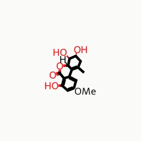 COc1cc(O)c2c(c1)C1=C(C)C[C@@H](O)[C@H](O)[C@@H]1OC2=O